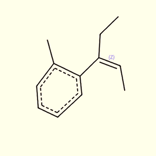 C/C=C(/CC)c1ccccc1C